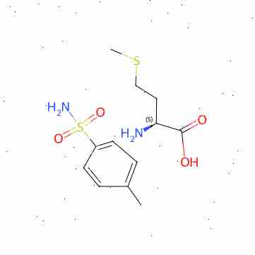 CSCC[C@H](N)C(=O)O.Cc1ccc(S(N)(=O)=O)cc1